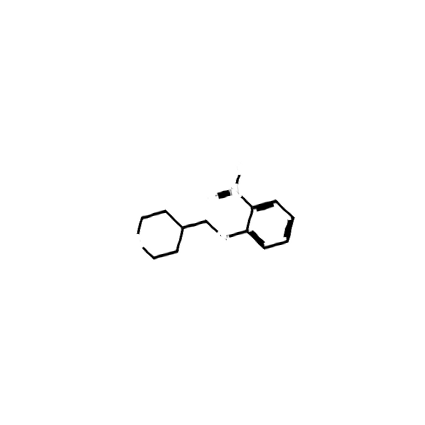 O=[N+]([O-])c1c[c]ccc1NCC1CCOCC1